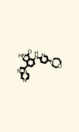 O=C1NCc2c(-c3cnc4cnccn34)ccc(Nc3ccc(N4CCCOCC4)cn3)c21